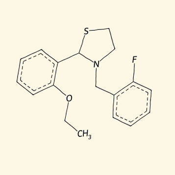 CCOc1ccccc1C1SCCN1Cc1ccccc1F